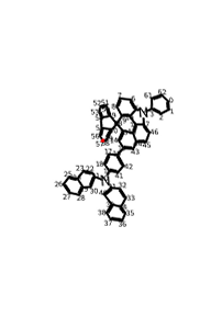 c1ccc(-n2c3cccc4c3c3c5c(cc(-c6ccc(N(c7ccc8ccccc8c7)c7ccc8ccccc8c7)cc6)cc5ccc32)C42c3ccccc3-c3ccccc32)cc1